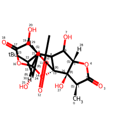 C[C@@H]1C(=O)O[C@H]2C(O)C34[C@@H]5OC(=O)[C@]3(O[C@@H]3OC(=O)C(O)C34C(C(C)(C)C)[C@H]5O)[C@@]12O